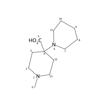 CN1CCC(C(=O)O)(N2CCCCC2)CC1